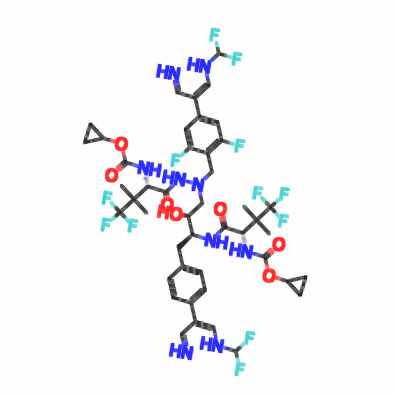 CC(C)([C@H](NC(=O)OC1CC1)C(=O)N[C@@H](Cc1ccc(/C(C=N)=C/NC(F)F)cc1)[C@@H](O)CN(Cc1c(F)cc(/C(C=N)=C/NC(F)F)cc1F)NC(=O)[C@@H](NC(=O)OC1CC1)C(C)(C)C(F)(F)F)C(F)(F)F